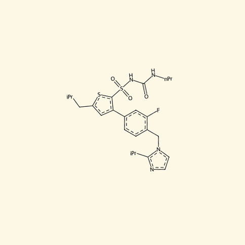 CCCNC(=O)NS(=O)(=O)c1sc(CC(C)C)cc1-c1ccc(Cn2ccnc2C(C)C)c(F)c1